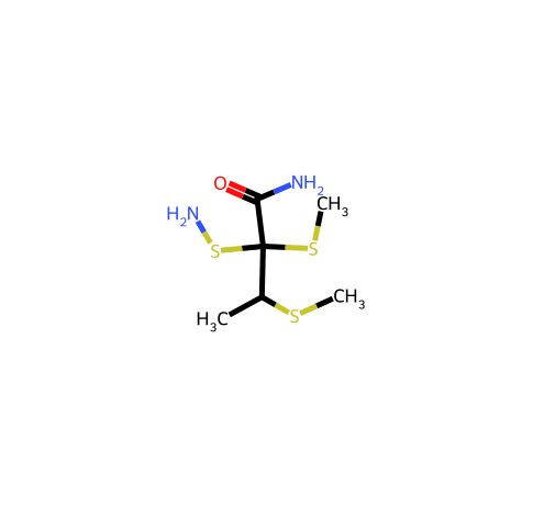 CSC(C)C(SC)(SN)C(N)=O